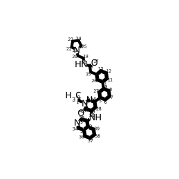 CCn1nc(-c2cccc(-c3cccc(CC(=O)NCCN4CCCC4)c3)c2)cc(Nc2cncc3ccccc23)c1=O